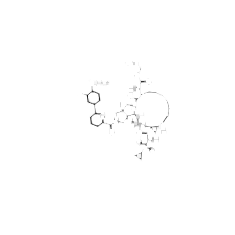 COc1ccc(-c2cccc(C(=O)N3C[C@H]4CN5C(=O)[C@@H](NC(=O)OCC(C)(C)C)CCCCC/C=C\[C@H]6C[C@@]6(C(=O)NS(=O)(=O)C6CC6)NC(=O)[C@@H]5[C@H]4C3)n2)cc1F